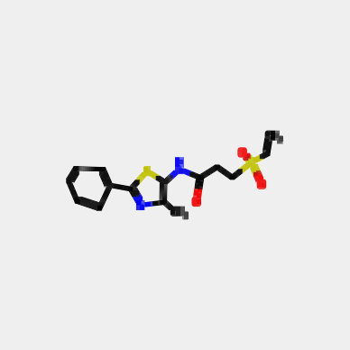 C=CS(=O)(=O)CCC(=O)Nc1sc(-c2ccccc2)nc1C